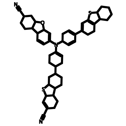 N#CC1=CC2SC3CC(C4CC=C(N(C5=CC6OC7CC(C#N)CCC7C6C=C5)C5C=CC(C6=CC7=C(CC6)C6CCCCC6S7)=CC5)CC4)CCC3C2CC1